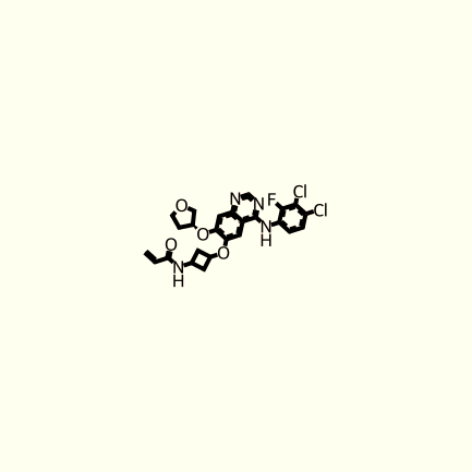 C=CC(=O)NC1CC(Oc2cc3c(Nc4ccc(Cl)c(Cl)c4F)ncnc3cc2O[C@H]2CCOC2)C1